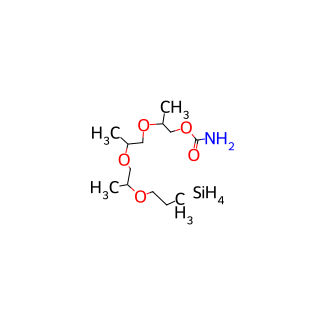 CCCOC(C)COC(C)COC(C)COC(N)=O.[SiH4]